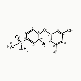 N[SH](=O)(c1ccc(Oc2cc(F)cc(Cl)c2)c(Br)c1)C(F)(F)F